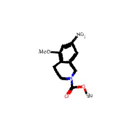 COc1cc([N+](=O)[O-])cc2c1CCN(C(=O)OC(C)(C)C)C2